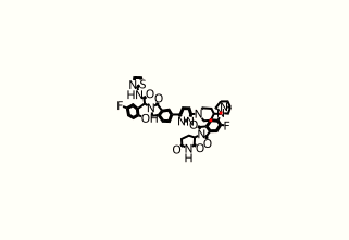 O=C1CCC(N2C(=O)c3cc(F)c(N4CC5CC(C4)N5CC4CCN(c5ccc(-c6ccc7c(c6)C(=O)N(C(C(=O)Nc6nccs6)c6cc(F)ccc6O)C7)nn5)CC4)cc3C2=O)C(=O)N1